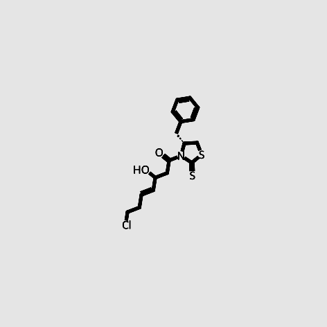 O=C(CC(O)/C=C/CCCl)N1C(=S)SC[C@H]1Cc1ccccc1